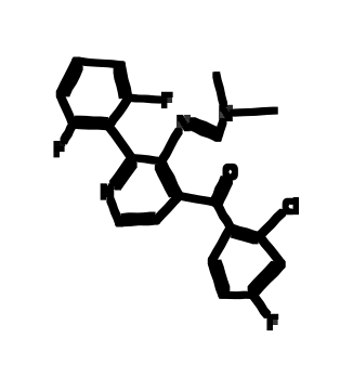 CN(C)C=Nc1c(C(=O)c2ccc(F)cc2Cl)ccnc1-c1c(F)cccc1F